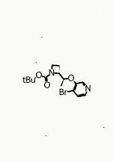 C[C@H](Oc1cnccc1Br)[C@H]1CCN1C(=O)OC(C)(C)C